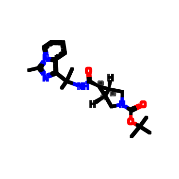 Cc1nc(C(C)(C)NC(=O)[C@H]2[C@@H]3CN(C(=O)OC(C)(C)C)C[C@@H]32)c2ccccn12